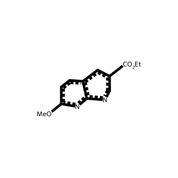 CCOC(=O)c1cnc2nc(OC)ccc2c1